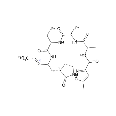 CCOC(=O)/C=C/C(C[C@@H]1CCNC1=O)NC(=O)C(CC(C)C)NC(=O)C(NC(=O)C(C)NC(=O)c1cc(C)on1)C(C)C